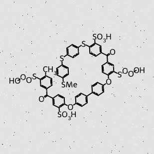 CSc1ccc(Sc2ccc(Sc3ccc(C(=O)c4ccc(Oc5ccc(-c6ccc(Oc7ccc(C(=O)c8ccc(C)c(SOOO)c8)cc7S(=O)(=O)O)cc6)cc5)c(SOOO)c4)cc3S(=O)(=O)O)cc2)cc1